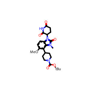 COc1ccc2c(c1C1CCN(C(=O)OC(C)(C)C)CC1)n(C)c(=O)n2C1CCC(=O)NC1=O